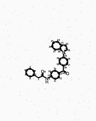 O=C(Cc1ccccc1)Nc1ccc(C(=O)c2ccc(-n3ccc4ccccc43)cc2)cc1